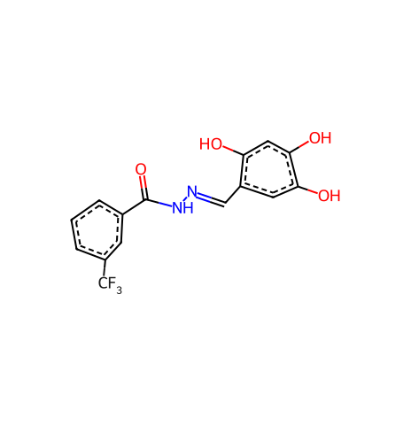 O=C(NN=Cc1cc(O)c(O)cc1O)c1cccc(C(F)(F)F)c1